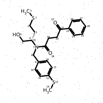 CSCC[C@@H](CO)N(Cc1ccc(SC)cc1)C(=O)CCC(=O)c1ccccc1